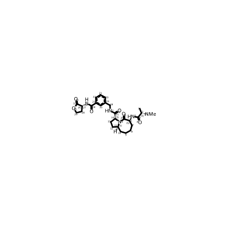 CN[C@@H](C)C(=O)N[C@H]1CCCC[C@H]2CC[C@@H](C(=O)NCc3cccc(C(=O)N[C@@H]4CCOC4=O)c3)N2C1=O